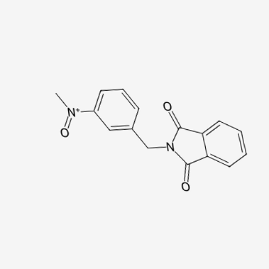 C[N+](=O)c1cccc(CN2C(=O)c3ccccc3C2=O)c1